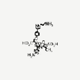 C[C@@H]1[C@H](NC(=O)/C(=N\O[C@@H](COc2ccc(-c3cnn(CCCN)c3)cc2)C(=O)O)c2csc(N)n2)C(=O)N1S(=O)(=O)O